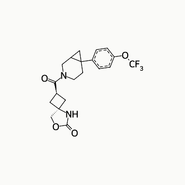 O=C1N[C@]2(CO1)C[C@H](C(=O)N1CCC3(c4ccc(OC(F)(F)F)cc4)CC3C1)C2